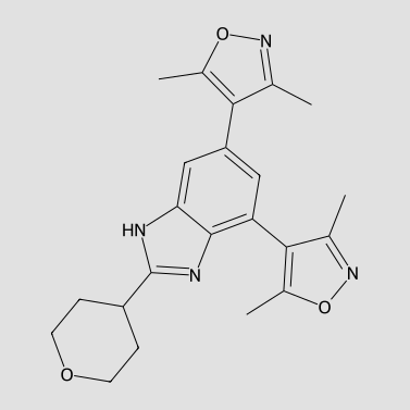 Cc1noc(C)c1-c1cc(-c2c(C)noc2C)c2nc(C3CCOCC3)[nH]c2c1